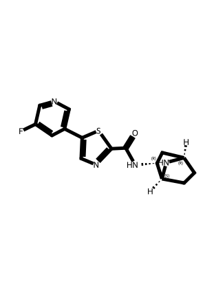 O=C(N[C@@H]1C[C@H]2CC[C@@H]1N2)c1ncc(-c2cncc(F)c2)s1